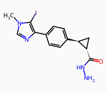 Cn1cnc(-c2ccc([C@H]3C[C@@H]3C(=O)NN)cc2)c1I